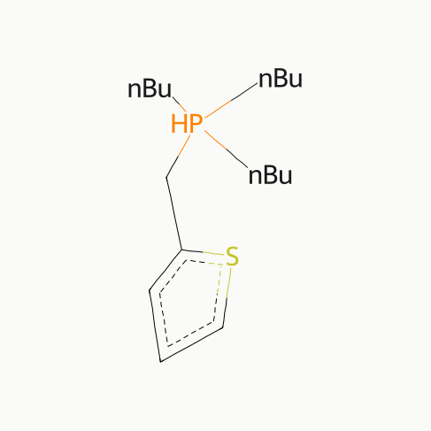 CCCC[PH](CCCC)(CCCC)Cc1cccs1